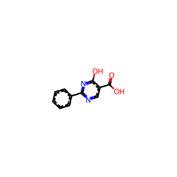 O=C(O)c1cnc(-c2ccccc2)nc1O